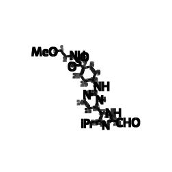 COCCNS(=O)(=O)c1ccc(Nc2nccc(-c3[nH]c(C=O)nc3C(C)C)n2)cc1